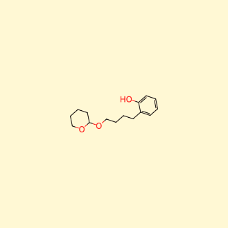 Oc1ccccc1CCCCOC1CCCCO1